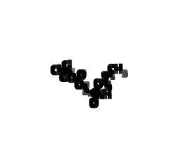 CCSC(=S)O[C@H]1NC(=O)[C@@H]1CCOC(=O)OCC(Cl)(Cl)Cl